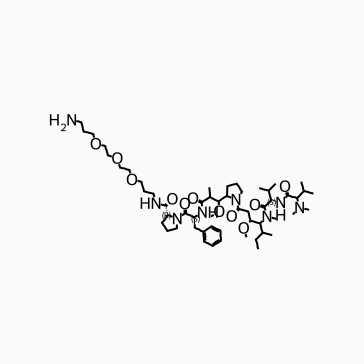 CCC(C)C(C(CC(=O)N1CCCC1C(OC)C(C)C(=O)N[C@@H](Cc1ccccc1)C(=O)N1CCC[C@@H]1C(=O)NCCCOCCOCCOCCCN)OC)N(C)C(=O)[C@@H](NC(=O)C(C(C)C)N(C)C)C(C)C